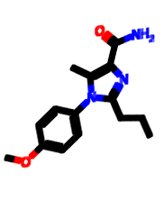 CCCc1nc(C(N)=O)c(C)n1-c1ccc(OC)cc1